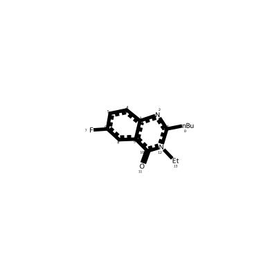 CCCCc1nc2ccc(F)cc2c(=O)n1CC